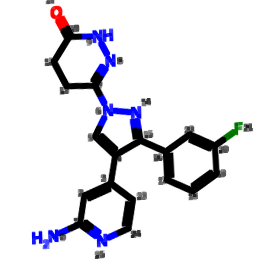 Nc1cc(-c2cn(C3=NNC(=O)CC3)nc2-c2cccc(F)c2)ccn1